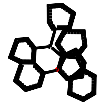 c1ccc(P(c2ccccc2)c2cccc3cccc(C4c5ccccc5-c5ccccc54)c23)cc1